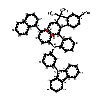 CC(C)(C)c1ccc2c(c1)C(C)(C)c1cccc(-c3ccccc3N(c3ccc(-c4cccc5ccccc45)cc3)c3cccc(-n4c5ccccc5c5ccccc54)c3)c1-2